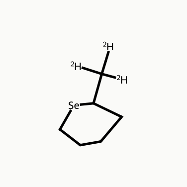 [2H]C([2H])([2H])C1CCCC[Se]1